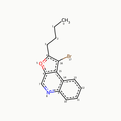 CCCCc1oc2cnc3ccccc3c2c1Br